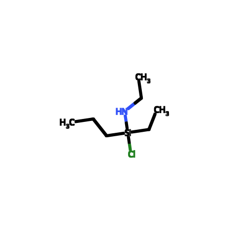 CCC[Si](Cl)(CC)NCC